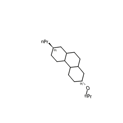 CCCO[C@@H]1CCC2C(CCC3C[C@H](CCC)CCC32)C1